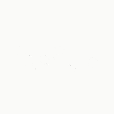 Cc1ccc2c(c1)C1(CCN(C(=O)OCc3ccccc3)CC1)CN2c1ncc(C(=O)NC2(C(=O)O)CC3CC(C)CC2C3)c(C(F)(F)F)n1